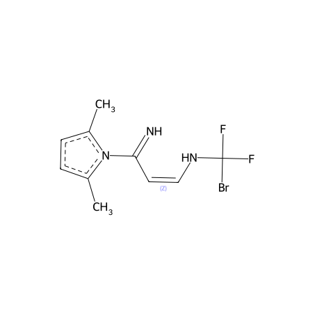 Cc1ccc(C)n1C(=N)/C=C\NC(F)(F)Br